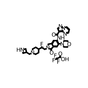 O=C(Nc1cc2c(cc1N1CCOCC1)C(=O)N(C[C@@H](F)C1CCN(CC3CNC3)CC1)C2)c1cnn2cccnc12.O=C(O)C(F)(F)F